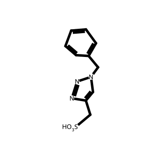 O=S(=O)(O)Cc1cn(Cc2ccccc2)nn1